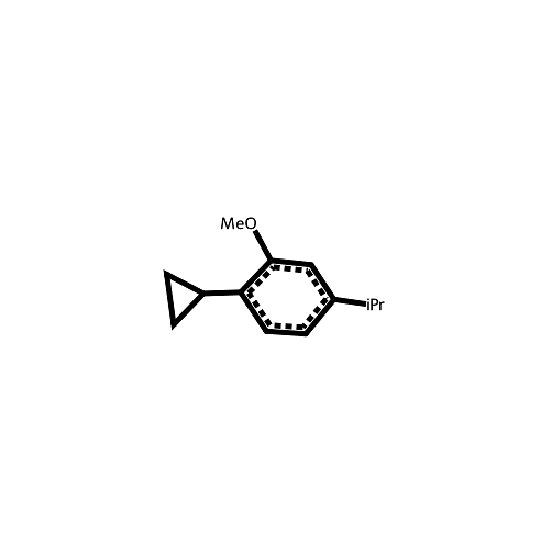 [CH2]C(C)c1ccc(C2CC2)c(OC)c1